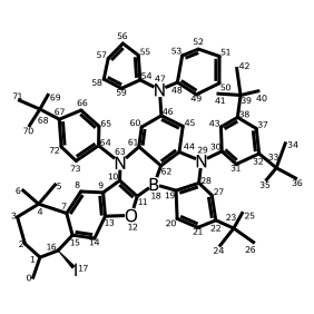 CC1CCC(C)(C)c2cc3c4c(oc3cc2[C@H]1I)B1c2ccc(C(C)(C)C)cc2N(c2cc(C(C)(C)C)cc(C(C)(C)C)c2)c2cc(N(c3ccccc3)c3ccccc3)cc(c21)N4c1ccc(C(C)(C)C)cc1